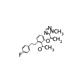 C=C(Oc1cccc(CCc2ccc(F)cc2)c1C(C)=O)c1ncnn1C